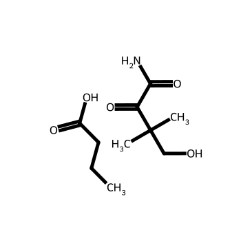 CC(C)(CO)C(=O)C(N)=O.CCCC(=O)O